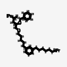 CC(C)CCCCCCc1cccc(CCCCCOCC(CC(C)C(C)C)OCc2ccccc2)c1